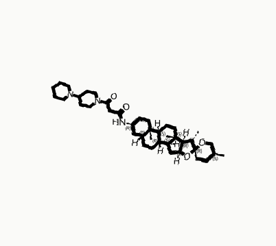 C[C@H]1CC[C@@]2(OC1)O[C@H]1C[C@H]3[C@@H]4CC[C@@H]5C[C@H](NC(=O)CC(=O)N6CCC(N7CCCCC7)CC6)CC[C@]5(C)[C@H]4CC[C@]3(C)[C@H]1[C@@H]2C